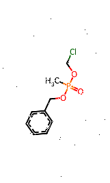 CP(=O)(OCCl)OCc1ccccc1